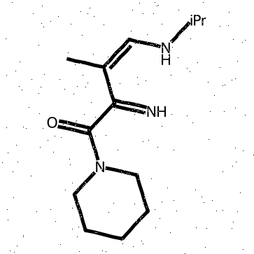 C/C(=C/NC(C)C)C(=N)C(=O)N1CCCCC1